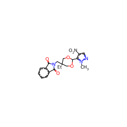 CCC1(CN2C(=O)c3ccccc3C2=O)COC(c2c([N+](=O)[O-])cnn2C)OC1